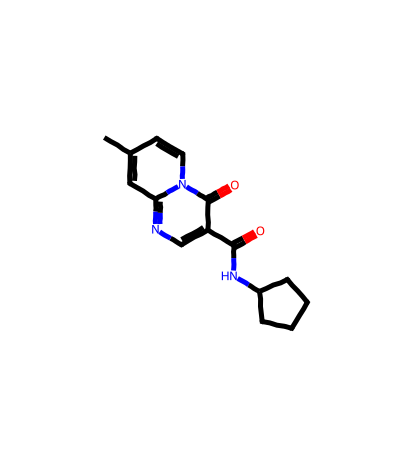 Cc1ccn2c(=O)c(C(=O)NC3CCCC3)cnc2c1